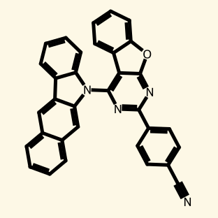 N#Cc1ccc(-c2nc(-n3c4ccccc4c4cc5ccccc5cc43)c3c(n2)oc2ccccc23)cc1